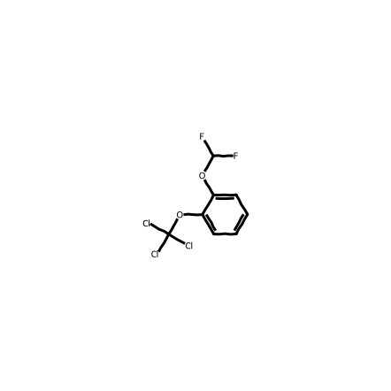 FC(F)Oc1ccccc1OC(Cl)(Cl)Cl